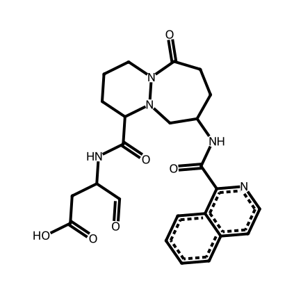 O=CC(CC(=O)O)NC(=O)C1CCCN2C(=O)CCC(NC(=O)c3nccc4ccccc34)CN12